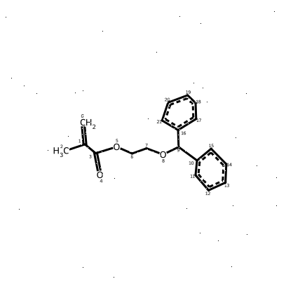 C=C(C)C(=O)OCCOC(c1ccccc1)c1ccccc1